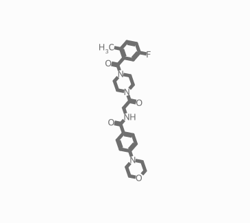 Cc1ccc(F)cc1C(=O)N1CCN(C(=O)CNC(=O)c2ccc(N3CCOCC3)cc2)CC1